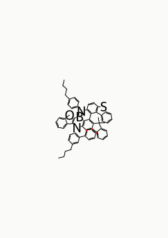 CCCCc1ccc(N2B3c4oc5ccccc5c4N(c4ccc(CCCC)cc4-c4ccccc4)c4cc5c(c(c43)-c3c2ccc2sc4ccccc4c32)C(C)(C)c2ccccc2-5)cc1